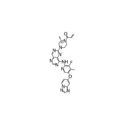 C=CC(=O)N1CCN(c2ncc3ncnc(Nc4ncc(Oc5ccn6ncnc6c5)c(C)c4F)c3n2)C[C@H]1C